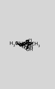 CCc1cccc(-c2c(Cl)cccc2[C@](O)(CCCNC(=O)O)[C@@H]2CCCN(C(=O)N3CCC(CNC)CC3)C2)c1